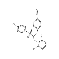 N#Cc1ccc(CN(Cc2c(F)cccc2F)S(=O)(=O)c2ccc(Cl)cc2)cc1